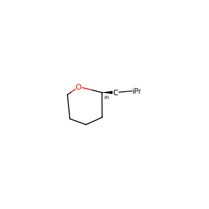 CC(C)C[C@H]1CCCCO1